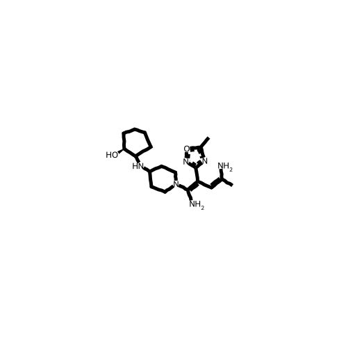 C/C(N)=C/C(=C(\N)N1CCC(NC2CCCC[C@@H]2O)CC1)c1noc(C)n1